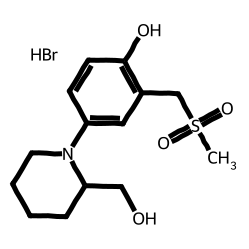 Br.CS(=O)(=O)Cc1cc(N2CCCCC2CO)ccc1O